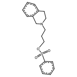 O=S(=O)(OCCCN1CCc2ccccc2C1)c1ccccc1